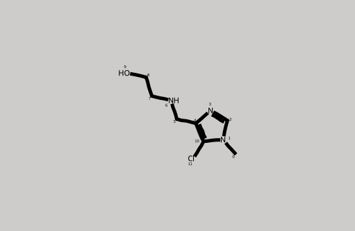 Cn1cnc(CNCCO)c1Cl